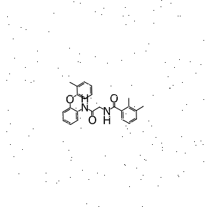 Cc1ccccc1Oc1ccccc1NC(=O)CNC(=O)c1cccc(C)c1C